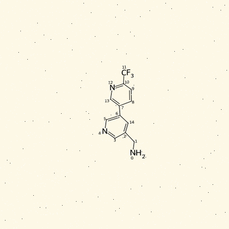 NCc1cncc(-c2ccc(C(F)(F)F)nc2)c1